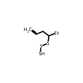 C=CCC(CC)SSS